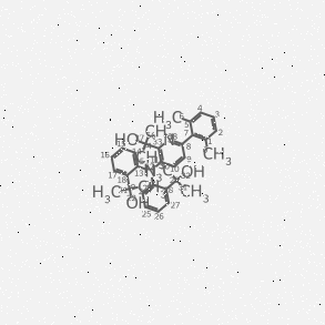 Cc1cccc(C)c1-c1ccc(N(c2ccccc2C(C)(C)O)c2ccccc2C(C)(C)O)c(C(C)(C)O)n1